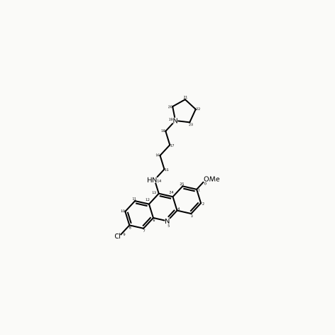 COc1ccc2nc3cc(Cl)ccc3c(NCCCCN3CCCC3)c2c1